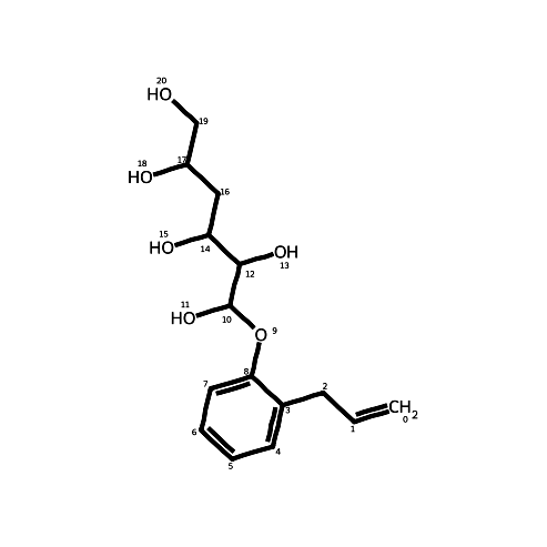 C=CCc1ccccc1OC(O)C(O)C(O)CC(O)CO